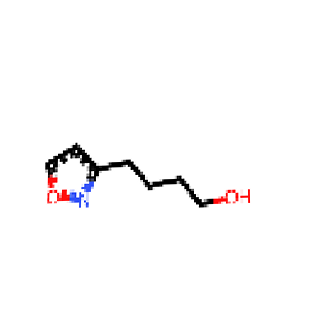 OCCCCc1ccon1